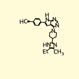 C#Cc1ccc(-c2cc3c(N4CCC(c5nc(C)c(CC)[nH]5)CC4)ncnc3[nH]2)cc1